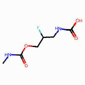 CNC(=O)OCC(F)CNC(=O)O